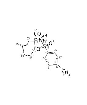 Cc1ccc(S(=O)(=O)NC2(C(=O)O)CCCCC2)cc1